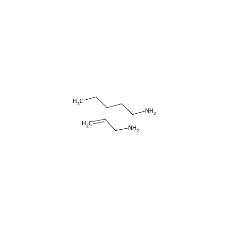 C=CCN.CCCCCN